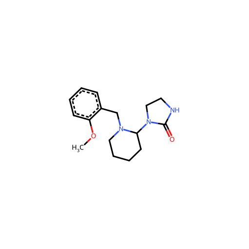 COc1ccccc1CN1CCCCC1N1CCNC1=O